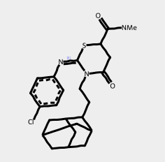 CNC(=O)C1CC(=O)N(CCC2C3CC4CC(C3)CC2C4)/C(=N\c2ccc(Cl)cc2)S1